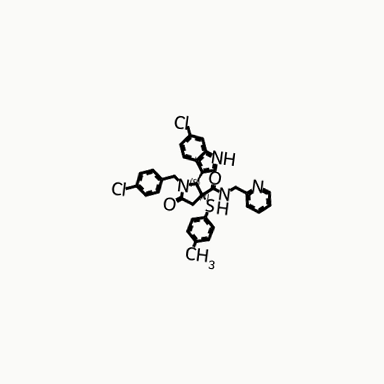 Cc1ccc(S[C@]2(C(=O)NCc3ccccn3)CC(=O)N(Cc3ccc(Cl)cc3)[C@H]2c2c[nH]c3cc(Cl)ccc23)cc1